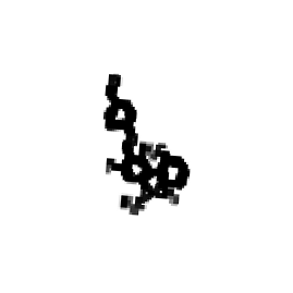 COc1cc(F)c(COc2ccc(C=O)cc2)cc1-c1c(C)cccc1C